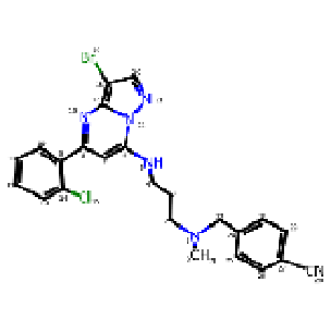 CN(CCCNc1cc(-c2ccccc2Cl)nc2c(Br)cnn12)Cc1ccc(C#N)cc1